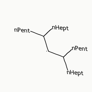 CCCCCCCC([CH]C(CCCCC)CCCCCCC)CCCCC